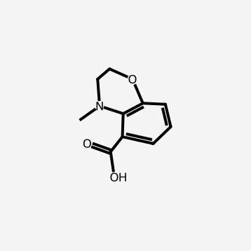 CN1CCOc2cccc(C(=O)O)c21